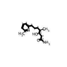 Cc1cccc(CCC[C@@H](C)[C@@H](O)CC(N)=O)n1